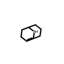 B1C2=CCCC1CCC2